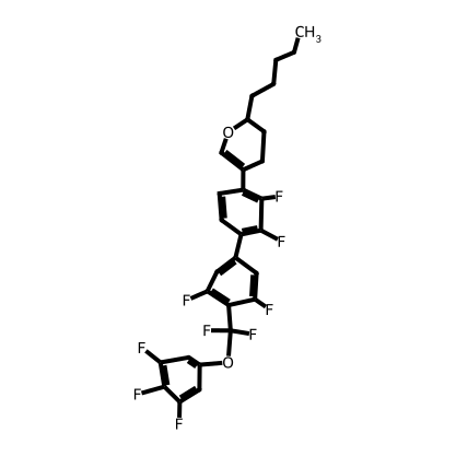 CCCCCC1CCC(c2ccc(-c3cc(F)c(C(F)(F)Oc4cc(F)c(F)c(F)c4)c(F)c3)c(F)c2F)=CO1